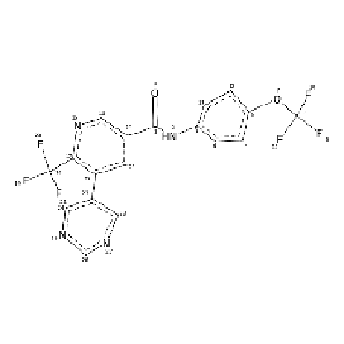 O=C(Nc1ccc(OC(F)(F)F)cc1)c1cnc(C(F)(F)F)c(-c2cncnc2)c1